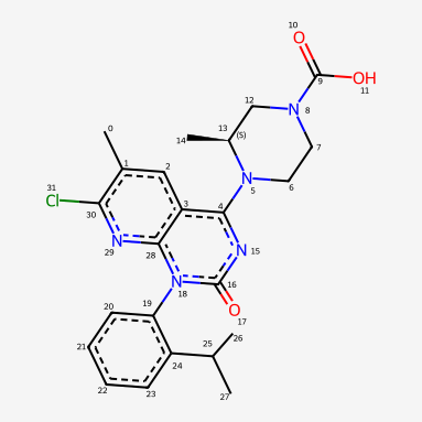 Cc1cc2c(N3CCN(C(=O)O)C[C@@H]3C)nc(=O)n(-c3ccccc3C(C)C)c2nc1Cl